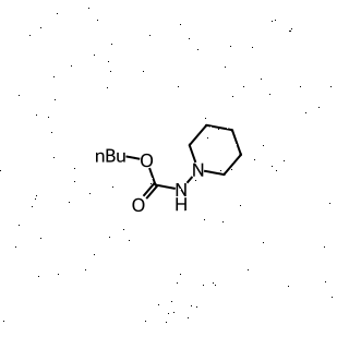 CCCCOC(=O)NN1CCCCC1